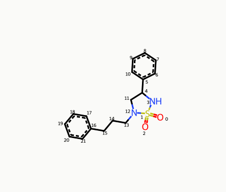 O=S1(=O)NC(c2ccccc2)CN1CCCc1ccccc1